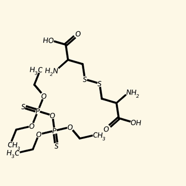 CCOP(=S)(OCC)OP(=S)(OCC)OCC.NC(CSSCC(N)C(=O)O)C(=O)O